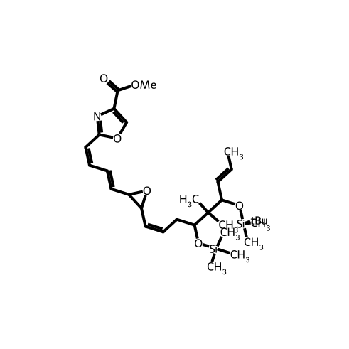 C/C=C/C(O[Si](C)(C)C(C)(C)C)C(C)(C)C(C/C=C\C1OC1/C=C/C=C\c1nc(C(=O)OC)co1)O[Si](C)(C)C